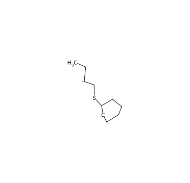 CC[CH]CSC1CCCCC1